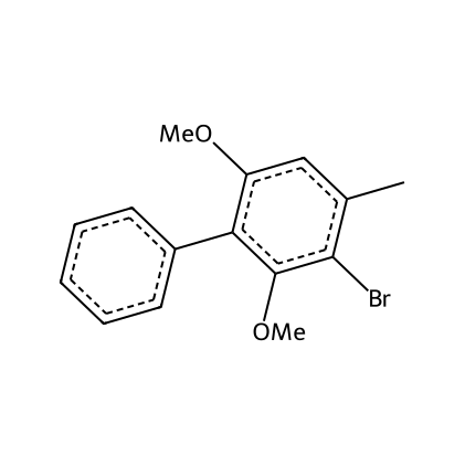 COc1cc(C)c(Br)c(OC)c1-c1ccccc1